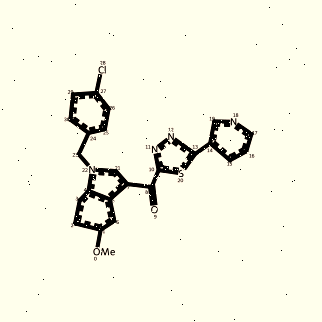 COc1ccc2c(c1)c(C(=O)c1nnc(-c3cccnc3)s1)cn2Cc1ccc(Cl)cc1